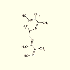 CC(=NO)C(C)=NCC(C)N=C(C)C(C)=NO